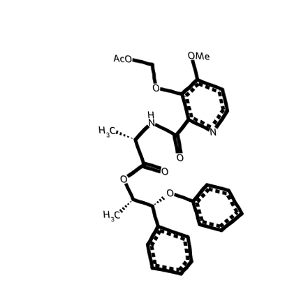 COc1ccnc(C(=O)N[C@@H](C)C(=O)O[C@@H](C)[C@H](Oc2ccccc2)c2ccccc2)c1OCOC(C)=O